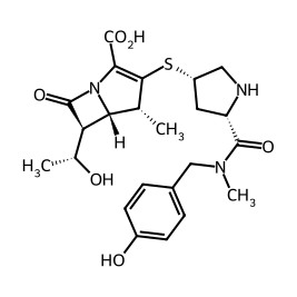 C[C@@H](O)[C@H]1C(=O)N2C(C(=O)O)=C(S[C@@H]3CN[C@H](C(=O)N(C)Cc4ccc(O)cc4)C3)[C@H](C)[C@H]12